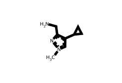 Cn1cc(C2CC2)c(CN)n1